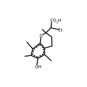 CCC(C(=O)O)C1(C)CCc2c(C)c(O)c(C)c(C)c2O1